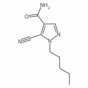 CCCCCn1ncc(C(N)=O)c1C#N